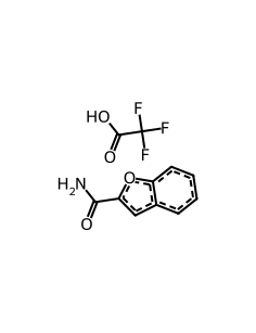 NC(=O)c1cc2ccccc2o1.O=C(O)C(F)(F)F